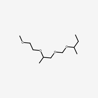 CCC(C)OCOCC(C)OCCOC